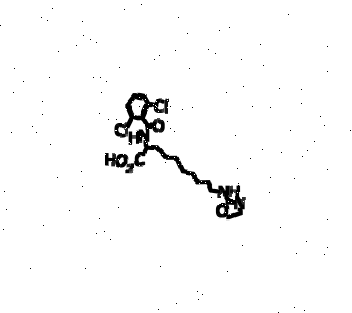 O=C(NC(CCCCCCCCNC1=NCCO1)C(=O)O)c1c(Cl)cccc1Cl